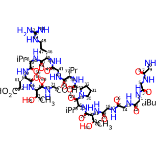 CC[C@H](C)[C@H](NC(=O)CNC(=O)CN)C(=O)NCC(=O)NCC(=O)N[C@H](C(=O)N[C@H](C(=O)N1CCC[C@H]1C(=O)N[C@H](C(=O)NCC(=O)N[C@@H](CCCNC(=N)N)C(=O)N[C@H](C(=O)N[C@@H](CCC(=O)O)C(=O)N[C@H](C(=O)NCC(=O)O)[C@@H](C)O)C(C)C)C(C)C)C(C)C)[C@@H](C)O